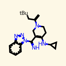 C=C(CC(C)(C)C)N1CCC(NC2CC2)=C(C(=N)n2nnc3ccccc32)C1